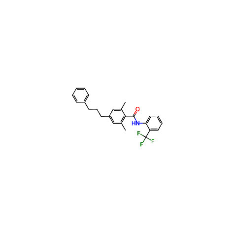 Cc1cc(CCCc2ccccc2)cc(C)c1C(=O)Nc1ccccc1C(F)(F)F